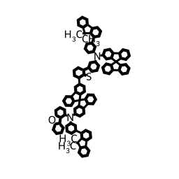 CC1(C)c2ccccc2-c2cccc(-c3cccc(N(c4ccc5c(c4)C4(c6ccccc6-c6ccccc64)c4ccccc4-5)c4ccc5sc6c(-c7ccc8c(c7)-c7ccccc7C87c8ccccc8-c8ccc(N(c9cccc(-c%10cccc%11c%10C(C)(C)c%10ccccc%10-%11)c9)c9cccc%10oc%11ccccc%11c9%10)cc87)cccc6c5c4)c3)c21